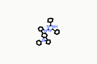 c1ccc(C2=NC(n3c4ccccc4c4cc5c(cc43)c3ccccc3n5-c3ccccc3)=NC(c3ccccc3)N2)cc1